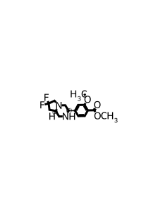 COC(=O)c1ccc([C@@H]2CN3CC(F)(F)C[C@H]3CN2)cc1OC